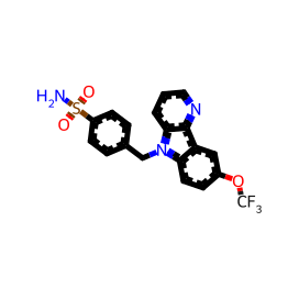 NS(=O)(=O)c1ccc(Cn2c3ccc(OC(F)(F)F)cc3c3ncccc32)cc1